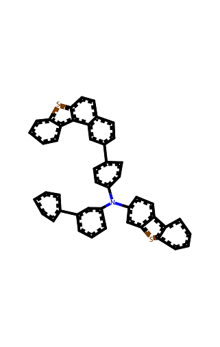 c1ccc(-c2cccc(N(c3ccc(-c4ccc5ccc6sc7ccccc7c6c5c4)cc3)c3ccc4c(c3)sc3ccccc34)c2)cc1